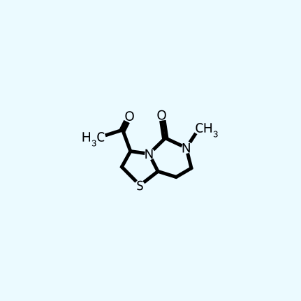 CC(=O)C1CSC2CCN(C)C(=O)N21